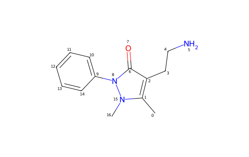 Cc1c(CCN)c(=O)n(-c2ccccc2)n1C